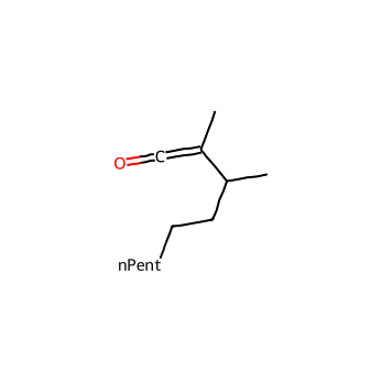 CCCCCCCC(C)C(C)=C=O